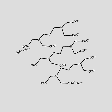 O=C([O-])CN(CCCN(CC(=O)[O-])CC(=O)[O-])CC(=O)[O-].O=C([O-])CN(CCCN(CC(=O)[O-])CC(=O)[O-])CC(=O)[O-].O=C([O-])CN(CCCN(CC(=O)[O-])CC(=O)[O-])CC(=O)[O-].[Fe+3].[Fe+3].[Fe+3].[Fe+3]